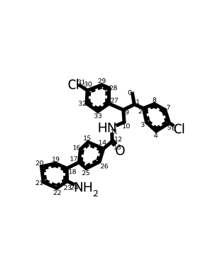 CC(c1ccc(Cl)cc1)C(CNC(=O)c1ccc(-c2ccccc2N)cc1)c1ccc(Cl)cc1